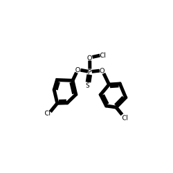 S=P(OCl)(Oc1ccc(Cl)cc1)Oc1ccc(Cl)cc1